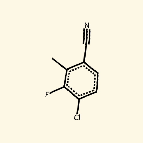 Cc1c(C#N)ccc(Cl)c1F